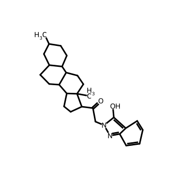 CC1CCC2C(CCC3C2CCC2(C)C(C(=O)Cn4nc5ccccc5c4O)CCC32)C1